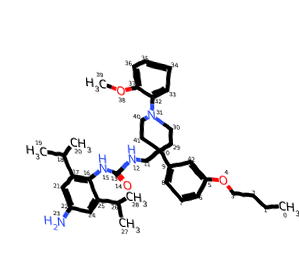 CCCCOc1cccc(C2(CNC(=O)Nc3c(C(C)C)cc(N)cc3C(C)C)CCN(c3ccccc3OC)CC2)c1